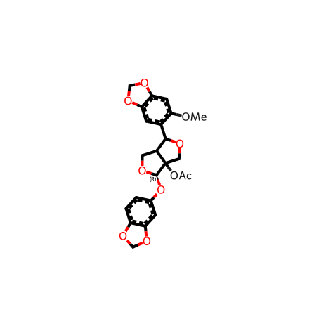 COc1cc2c(cc1C1OCC3(OC(C)=O)C1CO[C@@H]3Oc1ccc3c(c1)OCO3)OCO2